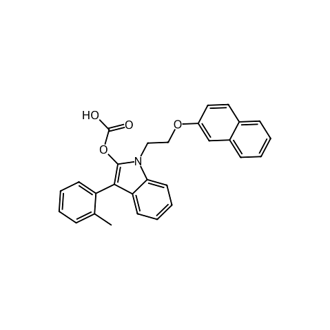 Cc1ccccc1-c1c(OC(=O)O)n(CCOc2ccc3ccccc3c2)c2ccccc12